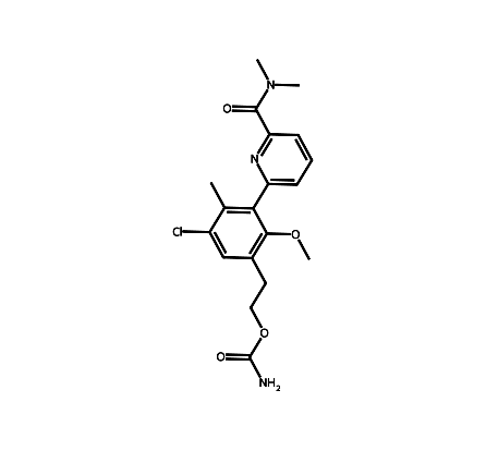 COc1c(CCOC(N)=O)cc(Cl)c(C)c1-c1cccc(C(=O)N(C)C)n1